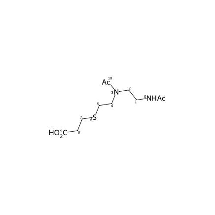 CC(=O)NCCN(CCSCCC(=O)O)C(C)=O